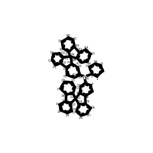 c1ccc(N(c2ccc3c(c2)C2(c4ccccc4-c4ccccc42)c2ccccc2-3)c2ccc3c(c2)C2(c4ccccc4-c4ccccc42)c2ccccc2-3)cc1